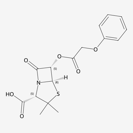 CC1(C)S[C@@H]2[C@@H](OC(=O)COc3ccccc3)C(=O)N2[C@H]1C(=O)O